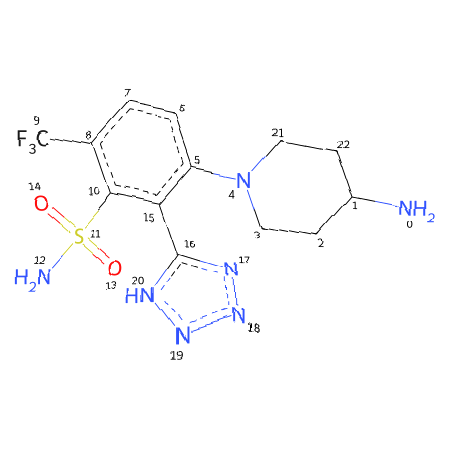 NC1CCN(c2ccc(C(F)(F)F)c(S(N)(=O)=O)c2-c2nnn[nH]2)CC1